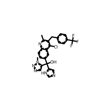 Cc1nc2ccc(C(O)(c3cnc[nH]3)c3cnnn3C)cc2c(Cl)c1Cc1ccc(C(F)(F)F)cc1